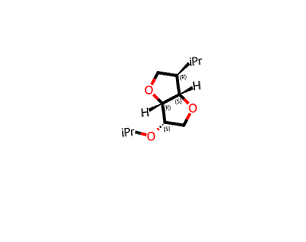 CC(C)O[C@H]1CO[C@@H]2[C@H]1OC[C@H]2C(C)C